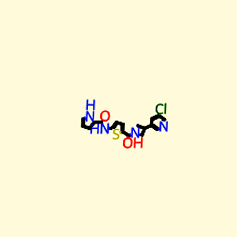 O=C(Nc1ccc(C(O)N2CC(c3cncc(Cl)c3)C2)s1)C1CCCN1